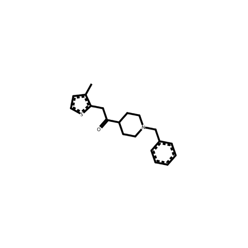 Cc1ccsc1CC(=O)C1CCN(Cc2ccccc2)CC1